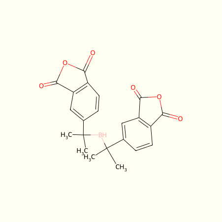 CC(C)(BC(C)(C)c1ccc2c(c1)C(=O)OC2=O)c1ccc2c(c1)C(=O)OC2=O